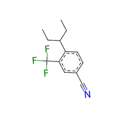 CCC(CC)c1ccc(C#N)cc1C(F)(F)F